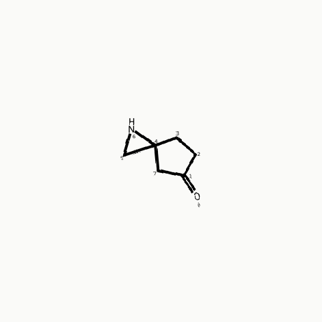 O=C1CCC2(CN2)C1